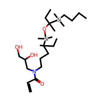 C=CC(=O)N(CCCC(C)(CC)[Si](C)(C)OC(C)(CC)[Si](C)(C)CCCC)CC(O)CO